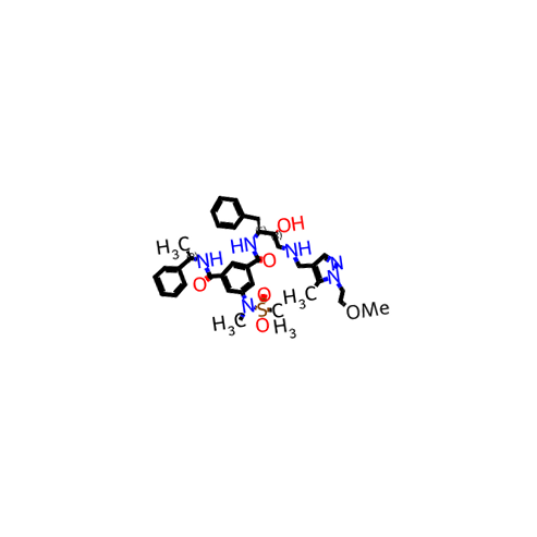 COCCn1ncc(CNC[C@@H](O)[C@H](Cc2ccccc2)NC(=O)c2cc(C(=O)N[C@H](C)c3ccccc3)cc(N(C)S(C)(=O)=O)c2)c1C